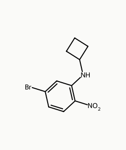 O=[N+]([O-])c1ccc(Br)cc1NC1CCC1